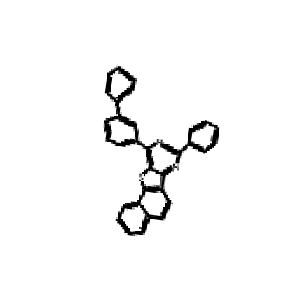 c1ccc(-c2cccc(-c3nc(-c4ccccc4)nc4c3sc3c5ccccc5ccc43)c2)cc1